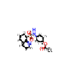 CCC(=O)Oc1ccc(NS(=O)(=O)c2cccc3cccnc23)cc1